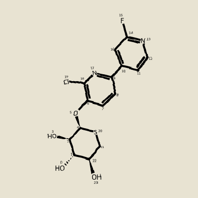 O[C@@H]1[C@@H](O)[C@@H](Oc2ccc(-c3ccnc(F)c3)nc2Cl)SC[C@H]1O